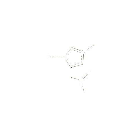 CCCCn1cc[n+](C)c1.CCC[PH](=O)[O-]